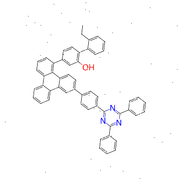 CCc1ccccc1-c1ccc(-c2cccc3c4ccccc4c4cc(-c5ccc(-c6nc(-c7ccccc7)nc(-c7ccccc7)n6)cc5)ccc4c23)cc1O